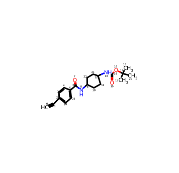 C#Cc1ccc(C(=O)NC2CCC(NC(=O)OC(C)(C)C)CC2)cc1